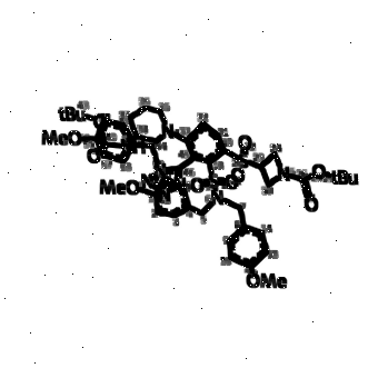 COc1ccc(CN(Cc2ccc(OC)cc2)S(=O)(=O)c2c(S(=O)(=O)C3CN(C(=O)OC(C)(C)C)C3)ccc(N3CCCC(NC(=O)OC(C)(C)C)C3)c2-c2nnnn2Cc2ccc(OC)cc2)cc1